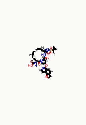 C[C@@H]1CCC=C[C@@H]2C[C@@]2(C(=O)NS(=O)(=O)C2(C)CC2)NC(=O)[C@@H]2C[C@@H](Oc3nccc4c5c(ccc34)CCO5)CN2C(=O)[C@@H](NC(=O)O)[C@H](C)C1